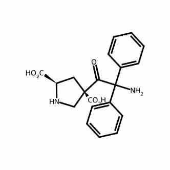 NC(C(=O)[C@]1(C(=O)O)CN[C@@H](C(=O)O)C1)(c1ccccc1)c1ccccc1